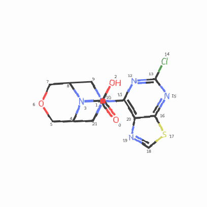 O=C(O)N1C2COCC1CN(c1nc(Cl)nc3scnc13)C2